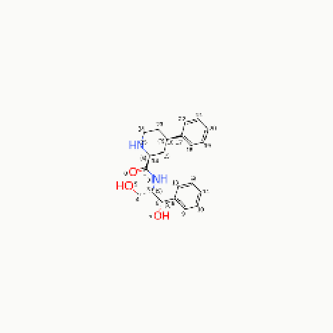 O=C(N[C@@H](CO)[C@@H](O)c1ccccc1)[C@@H]1C[C@H](c2ccccc2)CCN1